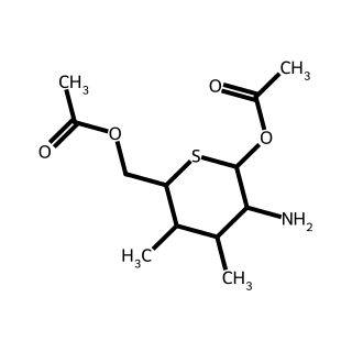 CC(=O)OCC1SC(OC(C)=O)C(N)C(C)C1C